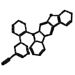 N#CC1=CN=CC(C2=C(N3C4C=CC=CC4C4C=c5c6c(oc5=CC43)CCC=C6)CCC=C2)C1